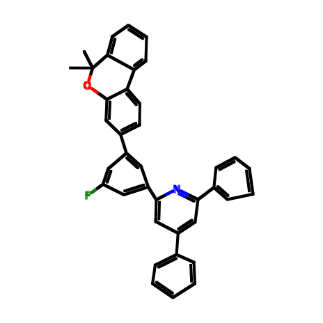 CC1(C)Oc2cc(-c3cc(F)cc(-c4cc(-c5ccccc5)cc(-c5ccccc5)n4)c3)ccc2-c2ccccc21